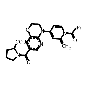 C=C1C=C(N2CCOc3cc(C(=O)N4CCCC4C(=O)O)cnc32)C=CN1C(=O)C(C)C